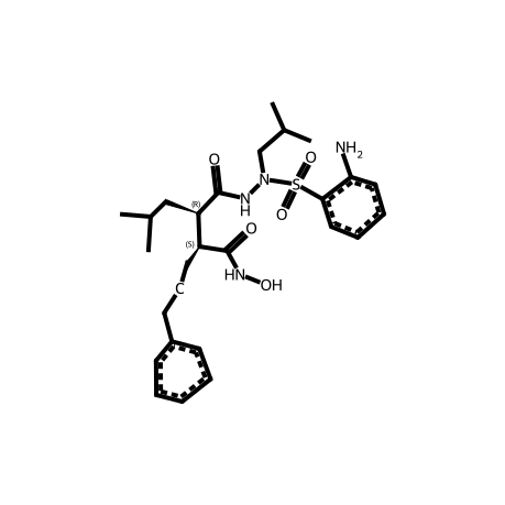 CC(C)C[C@@H](C(=O)NN(CC(C)C)S(=O)(=O)c1ccccc1N)[C@H](CCCc1ccccc1)C(=O)NO